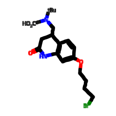 CC(C)(C)N(CC1CC(=O)Nc2cc(OCCCCBr)ccc21)C(=O)O